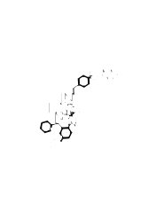 COc1ccc(CCNC(=S)NC2N=C(c3ccccc3)c3cc(Cl)ccc3N(C)C2=O)cc1